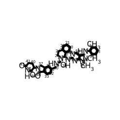 Cc1cccc(C)c1Nc1nn(C)c2nc(NC3c4ccccc4CCN3C(=O)NCc3ccc4c(c3)CN(C3CCC(=O)NC3=O)C4=O)ncc12